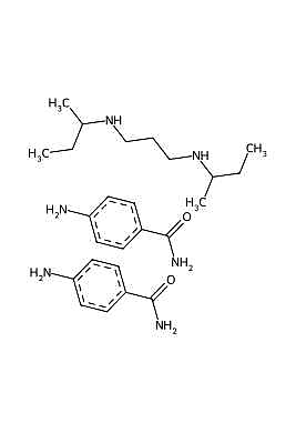 CCC(C)NCCCNC(C)CC.NC(=O)c1ccc(N)cc1.NC(=O)c1ccc(N)cc1